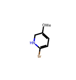 COC1=CC=C(Br)NC1